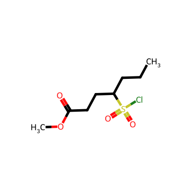 CCCC(CCC(=O)OC)S(=O)(=O)Cl